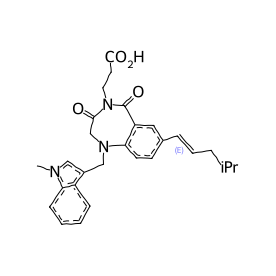 CC(C)C/C=C/c1ccc2c(c1)C(=O)N(CCC(=O)O)C(=O)CN2Cc1cn(C)c2ccccc12